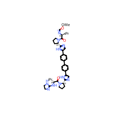 COO/C=N\[C@H](C(=O)N1CCC[C@H]1c1ncc(-c2ccc(-c3ccc(-c4cnc([C@@H]5CCCN5C(=O)[C@H](NC5=NCCN5)C(C)C)[nH]4)cc3)cc2)[nH]1)C(C)C